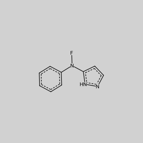 FN(c1ccccc1)c1ccn[nH]1